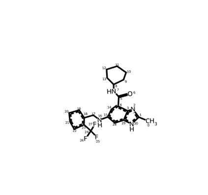 Cc1nc2c(C(=O)NC3CCCCC3)cc(NCc3ccccc3C(F)(F)F)cc2[nH]1